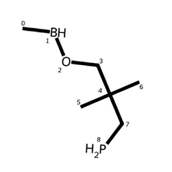 CBOCC(C)(C)CP